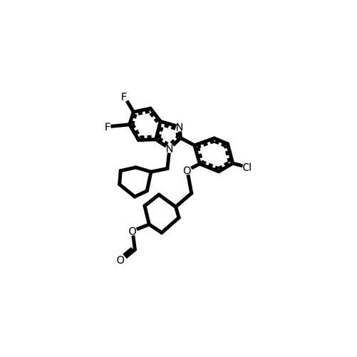 O=COC1CCC(COc2cc(Cl)ccc2-c2nc3cc(F)c(F)cc3n2CC2CCCCC2)CC1